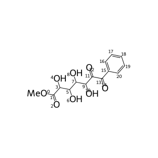 COC(=O)C(O)C(O)C(O)C(O)C(=O)C(=O)c1ccccc1